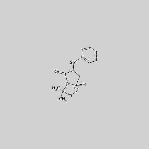 CC1(C)OC[C@H]2CC([Se]c3ccccc3)C(=O)N21